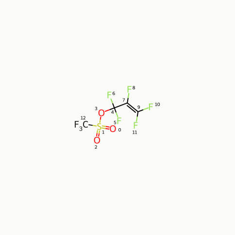 O=S(=O)(OC(F)(F)C(F)=C(F)F)C(F)(F)F